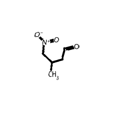 CC(CC=O)C[N+](=O)[O-]